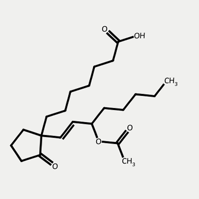 CCCCCC(/C=C/C1(CCCCCCC(=O)O)CCCC1=O)OC(C)=O